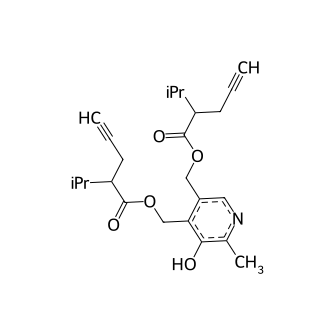 C#CCC(C(=O)OCc1cnc(C)c(O)c1COC(=O)C(CC#C)C(C)C)C(C)C